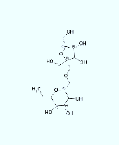 CCC1O[C@H](COC[C@]2(CO)O[C@H](CO)[C@H](O)C2O)C(O)[C@H](O)[C@@H]1O